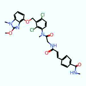 CNC(=O)c1ccc(C=CC(=O)NCC(=O)N(C)c2ccc(Cl)c(COc3cccc4c3nc(OC)n4C)c2Cl)cc1